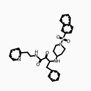 O=C(NCCc1ccccn1)C(=O)C(Cc1ccccc1)NC1CCN(S(=O)(=O)c2ccc3ccccc3c2)CC1